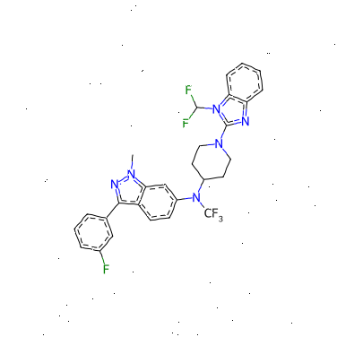 Cn1nc(-c2cccc(F)c2)c2ccc(N(C3CCN(c4nc5ccccc5n4C(F)F)CC3)C(F)(F)F)cc21